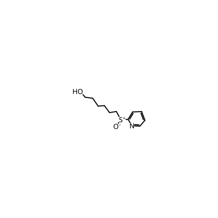 [O-][S+](CCCCCCO)c1ccccn1